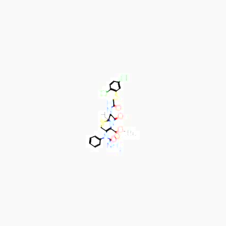 CC(C)(C)OC(=O)C1=C(N(C(N)=O)c2ccccc2)CS[C@@H]2C(NC(=O)CSc3cc(Cl)ccc3Cl)C(=O)N12